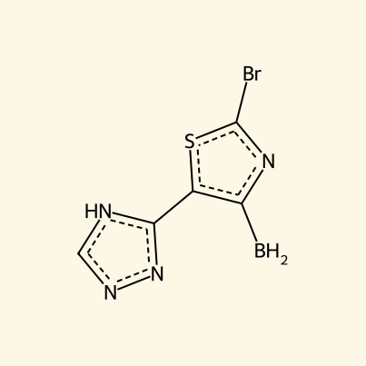 Bc1nc(Br)sc1-c1nnc[nH]1